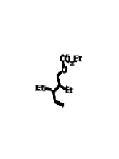 C=CC(CC)C(CC)COC(=O)OCC